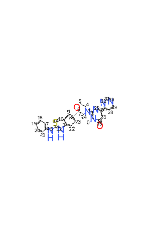 Cn1c(N2CCO[C@@H](c3ccc(NC(=S)Nc4ccccc4)cc3)C2)nc(-c2ccncn2)cc1=O